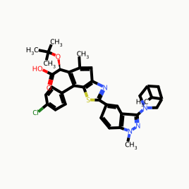 Cc1cc2nc(-c3ccc4c(c3)c(N3CC5CC(C3)C5C)nn4C)sc2c(-c2ccc(Cl)cc2)c1[C@H](OC(C)(C)C)C(=O)O